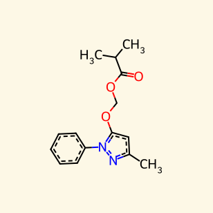 Cc1cc(OCOC(=O)C(C)C)n(-c2ccccc2)n1